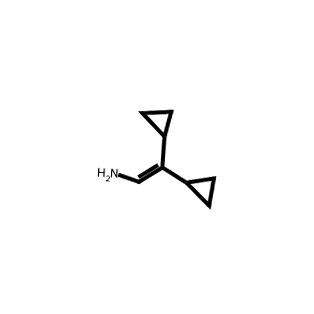 NC=C(C1CC1)C1CC1